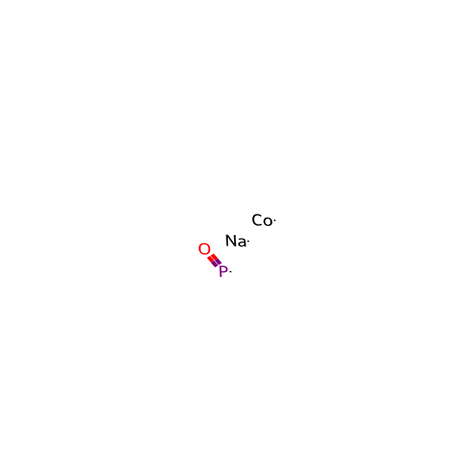 O=[P].[Co].[Na]